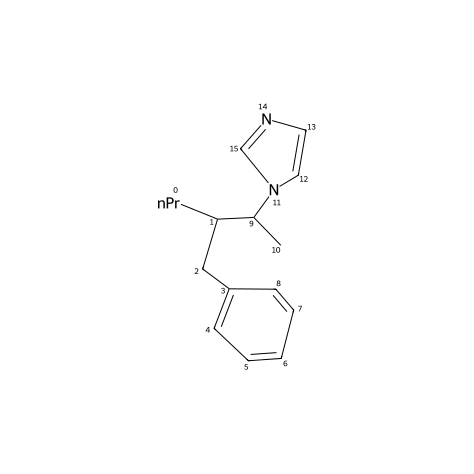 CCCC(Cc1ccccc1)C(C)n1ccnc1